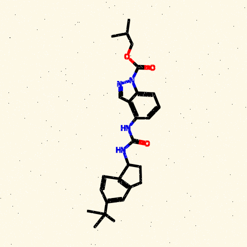 CC(C)COC(=O)n1ncc2c(NC(=O)NC3CCc4cc(C(C)(C)C)ccc43)cccc21